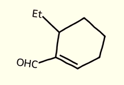 CCC1CCCC=C1C=O